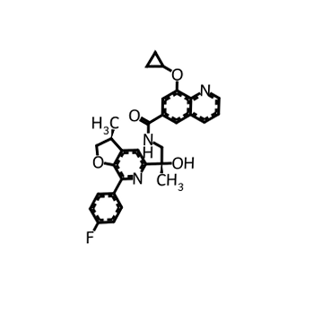 C[C@@H]1COc2c1cc([C@@](C)(O)CNC(=O)c1cc(OC3CC3)c3ncccc3c1)nc2-c1ccc(F)cc1